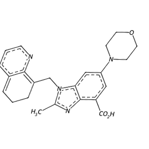 Cc1nc2c(C(=O)O)cc(N3CCOCC3)cc2n1CC1=c2ncccc2=CCC1